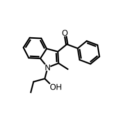 CCC(O)n1c(C)c(C(=O)c2ccccc2)c2ccccc21